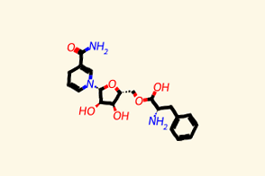 NC(=O)C1=CN([C@@H]2O[C@H](COC(O)[C@@H](N)Cc3ccccc3)[C@@H](O)[C@H]2O)C=CC1